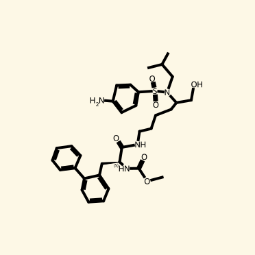 COC(=O)N[C@@H](Cc1ccccc1-c1ccccc1)C(=O)NCCCCC(CO)N(CC(C)C)S(=O)(=O)c1ccc(N)cc1